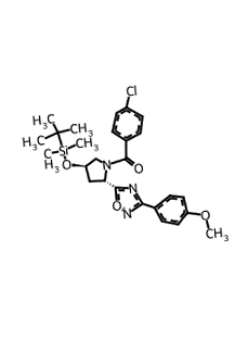 COc1ccc(-c2noc([C@@H]3C[C@@H](O[Si](C)(C)C(C)(C)C)CN3C(=O)c3ccc(Cl)cc3)n2)cc1